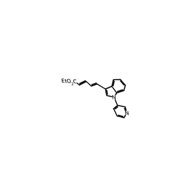 CCOC(=O)C=CC=Cc1cn(-c2cccnc2)c2ccccc12